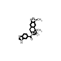 Cn1nnc2cc3c(cc21)[C@]1(C)CCN(C(=O)c2ccc4nc[nH]c4c2)C(C3)C1(C)C